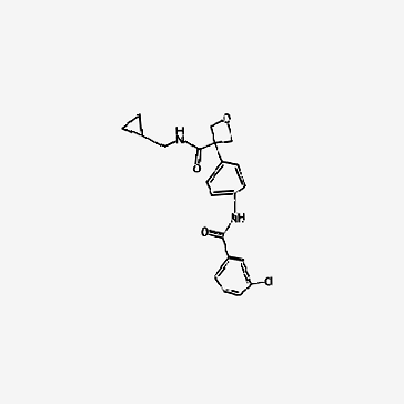 O=C(Nc1ccc(C2(C(=O)NCC3CC3)COC2)cc1)c1cccc(Cl)c1